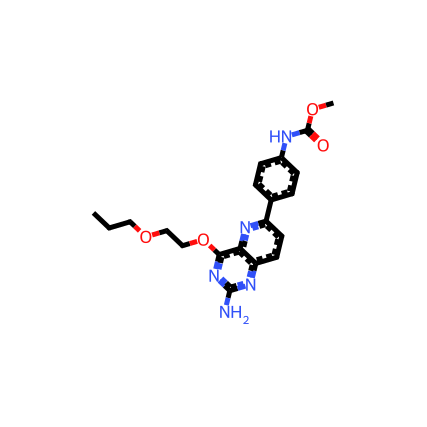 CCCOCCOc1nc(N)nc2ccc(-c3ccc(NC(=O)OC)cc3)nc12